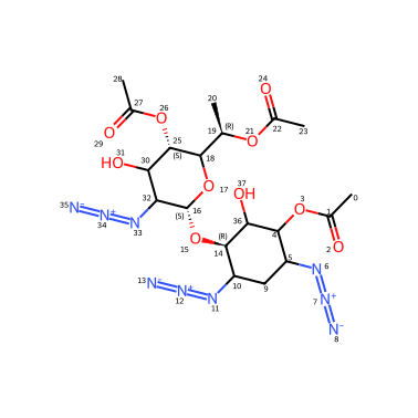 CC(=O)OC1C(N=[N+]=[N-])CC(N=[N+]=[N-])[C@@H](O[C@H]2OC([C@@H](C)OC(C)=O)[C@@H](OC(C)=O)C(O)C2N=[N+]=[N-])C1O